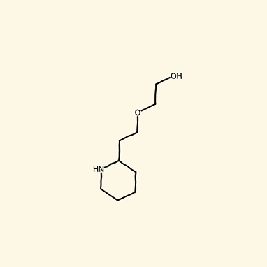 OCCOCCC1CCCCN1